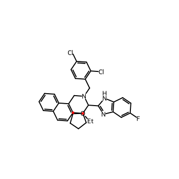 CCOc1ccc2ccccc2c1CN(Cc1ccc(Cl)cc1Cl)C(c1nc2cc(F)ccc2[nH]1)C1CCCC1